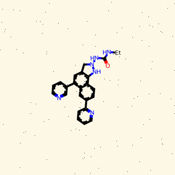 CCNC(=O)NN1Cc2cc(-c3cccnc3)c3cc(-c4ccccn4)ccc3c2N1